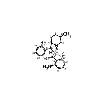 CC1CCC(C)(C(NC(=O)c2c(N)cccc2Cl)c2ccccc2)N(C)C1